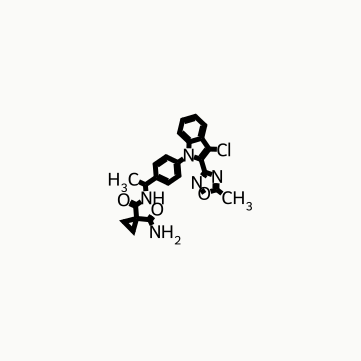 Cc1nc(-c2c(Cl)c3ccccc3n2-c2ccc(C(C)NC(=O)C3(C(N)=O)CC3)cc2)no1